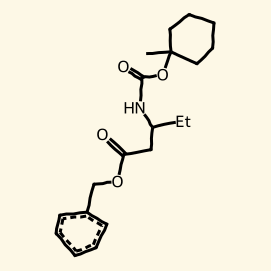 CCC(CC(=O)OCc1ccccc1)NC(=O)OC1(C)CCCCC1